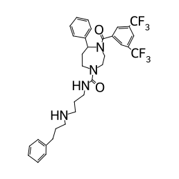 O=C(NCCCNCCCc1ccccc1)N1CCC(c2ccccc2)N(C(=O)c2cc(C(F)(F)F)cc(C(F)(F)F)c2)CC1